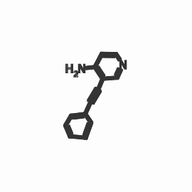 Nc1ccncc1C#Cc1ccccc1